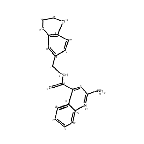 Nc1nc(C(=O)NCc2ccc3c(c2)OCCO3)c2ccccc2n1